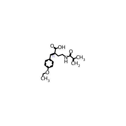 C=C(C)C(=O)NCC/C(=C\c1ccc(OCC)cc1)C(=O)O